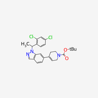 CC(c1ccc(Cl)cc1Cl)n1ncc2ccc(C3=CCN(C(=O)OC(C)(C)C)CC3)cc21